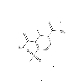 Cc1c(C(N)=O)ccc(S(C)(=O)=O)c1C(N)=O